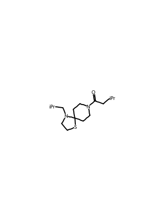 CC(C)CC(=O)N1CCC2(CC1)SCCN2CC(C)C